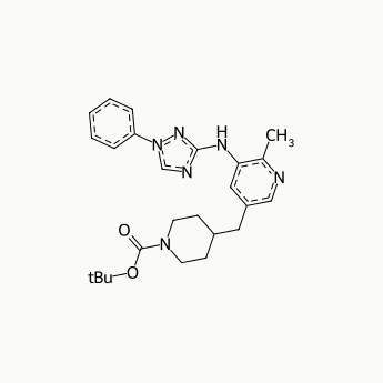 Cc1ncc(CC2CCN(C(=O)OC(C)(C)C)CC2)cc1Nc1ncn(-c2ccccc2)n1